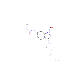 CC(C)(C)OC(=O)N1CCN(c2cn(C(=O)OC(C)(C)C)c3cc(N4CCC(=O)NC4=O)ccc23)CC1